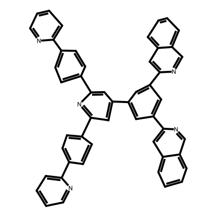 c1ccc(-c2ccc(-c3cc(-c4cc(-c5cc6ccccc6cn5)cc(-c5cc6ccccc6cn5)c4)cc(-c4ccc(-c5ccccn5)cc4)n3)cc2)nc1